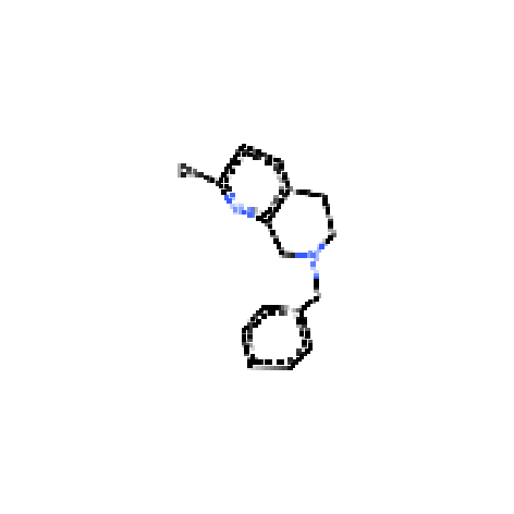 CCc1ccc2c(n1)CN(Cc1ccccc1)CC2